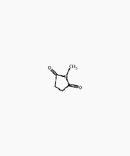 CN1C(=O)[CH]CC1=O